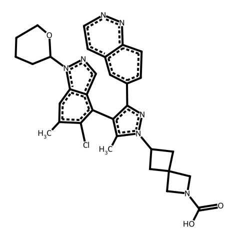 Cc1cc2c(cnn2C2CCCCO2)c(-c2c(-c3ccc4nnccc4c3)nn(C3CC4(C3)CN(C(=O)O)C4)c2C)c1Cl